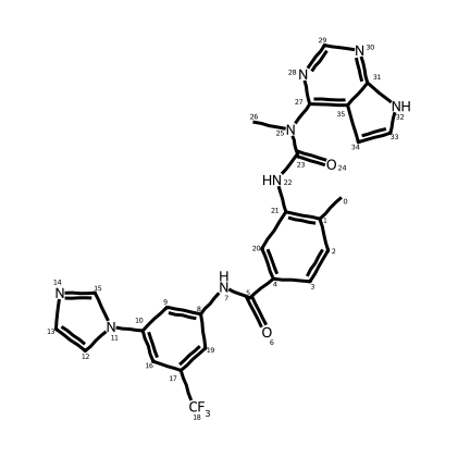 Cc1ccc(C(=O)Nc2cc(-n3ccnc3)cc(C(F)(F)F)c2)cc1NC(=O)N(C)c1ncnc2[nH]ccc12